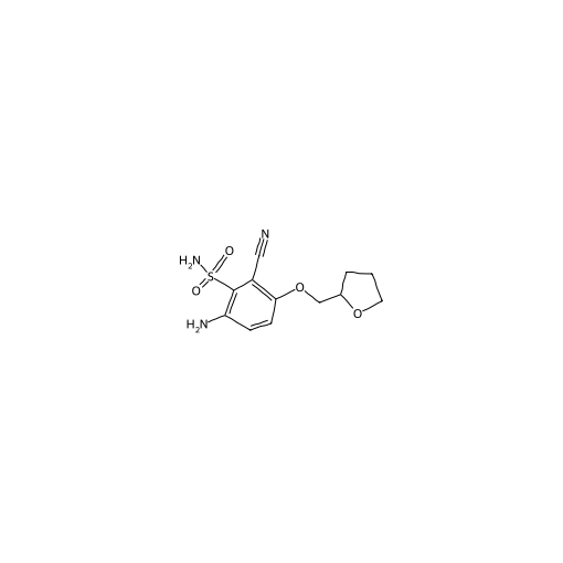 N#Cc1c(OCC2CCCO2)ccc(N)c1S(N)(=O)=O